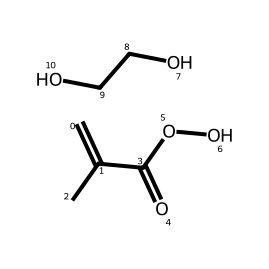 C=C(C)C(=O)OO.OCCO